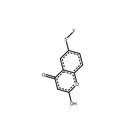 O=c1cc(O)oc2ccc(SF)cc12